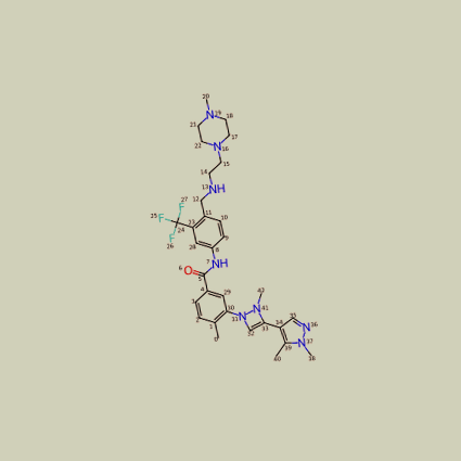 Cc1ccc(C(=O)Nc2ccc(CNCCN3CCN(C)CC3)c(C(F)(F)F)c2)cc1-n1cc(-c2cnn(C)c2C)n1C